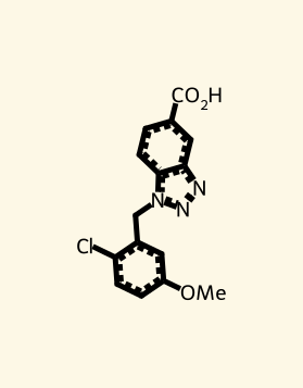 COc1ccc(Cl)c(Cn2nnc3cc(C(=O)O)ccc32)c1